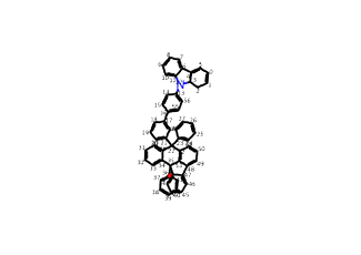 C1=CCC2C(=C1)c1ccccc1N2c1ccc(-c2cccc(C3(c4ccccc4)c4ccccc4C4(c5ccccc5)c5ccccc5-c5cccc3c54)c2)cc1